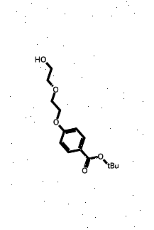 CC(C)(C)OC(=O)c1ccc(OCCOCCO)cc1